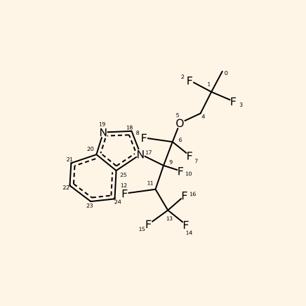 CC(F)(F)COC(F)(F)C(F)(C(F)C(F)(F)F)n1cnc2ccccc21